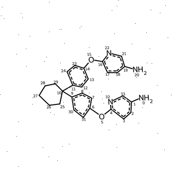 Nc1ccc(Oc2ccc(C3(c4ccc(Oc5ccc(N)cn5)cc4)CCCCC3)cc2)nc1